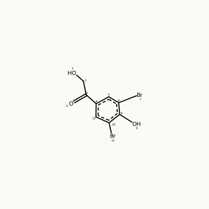 O=C(CO)c1cc(Br)c(O)c(Br)c1